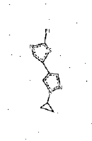 CCc1ncc(-c2cnn(C3CC3)c2)s1